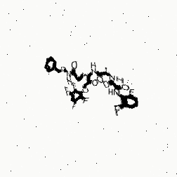 C[C@H](NC(=O)C(=O)Nc1c(F)cccc1F)C(=O)N[C@@H](CCC(=O)NOCc1ccccc1)C(=O)COc1c(F)c(F)cc(F)c1F